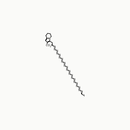 O=C(O)c1cc2n(c1CCN=NN=NN=NN=NN=NN=NN=NN=NN=NN=NN=NN=CI)CCCC2